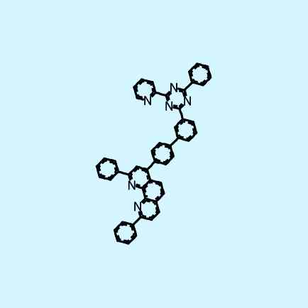 c1ccc(-c2ccc3ccc4c(-c5ccc(-c6cccc(-c7nc(-c8ccccc8)nc(-c8ccccn8)n7)c6)cc5)cc(-c5ccccc5)nc4c3n2)cc1